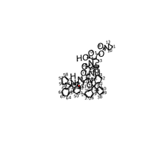 O=C(O)C1=C(COC(=O)N2CCC2)CS[C@H]2C(NC(=O)C(=NOC(c3ccccc3)(c3ccccc3)c3ccccc3)c3csc(NC(c4ccccc4)(c4ccccc4)c4ccccc4)n3)C(=O)N12